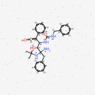 CC(C)(C)NC(N)(Cc1ccccc1)C(O)C(NC(=O)NCc1ccccc1)C(=C=O)c1ccccc1